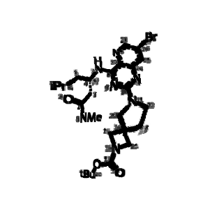 CNC(=O)C[C@H](CC(C)C)Nc1nc(N2CCC3(CN(C(=O)OC(C)(C)C)C3)C2)nc2cc(Br)cnc12